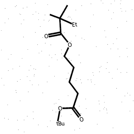 CCC(C)(C)C(=O)OCCCCC(=O)OC(C)(C)C